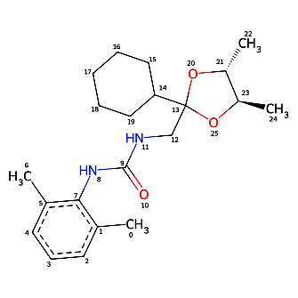 Cc1cccc(C)c1NC(=O)NCC1(C2CCCCC2)O[C@H](C)[C@@H](C)O1